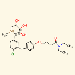 CCN(CC)C(=O)CCCOc1ccc(Cc2cc([C@H]3[C@H](O)[C@H](O)[C@H](O)C[SH]3C)ccc2Cl)cc1